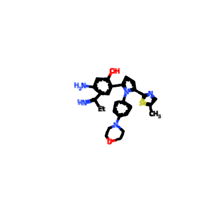 CCC(=N)c1cc(-c2ccc(-c3ncc(C)s3)n2-c2ccc(N3CCOCC3)cc2)c(O)cc1N